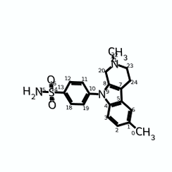 Cc1ccc2c(c1)c1c(n2-c2ccc(S(N)(=O)=O)cc2)CN(C)CC1